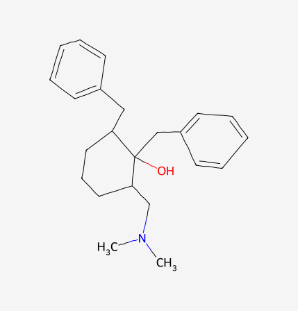 CN(C)CC1CCCC(Cc2ccccc2)C1(O)Cc1ccccc1